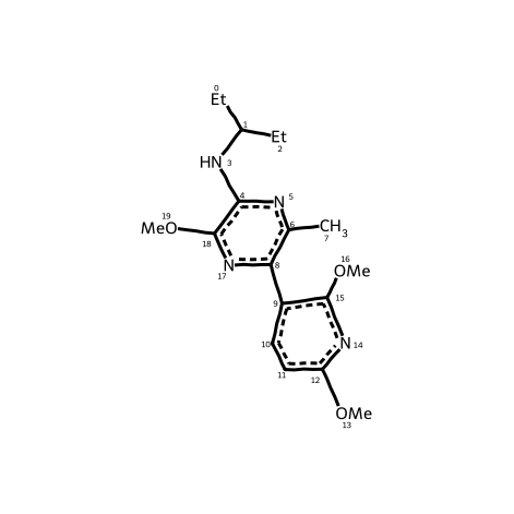 CCC(CC)Nc1nc(C)c(-c2ccc(OC)nc2OC)nc1OC